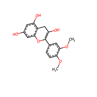 COc1ccc(C2=C(O)Cc3c(O)cc(O)cc3O2)cc1OC